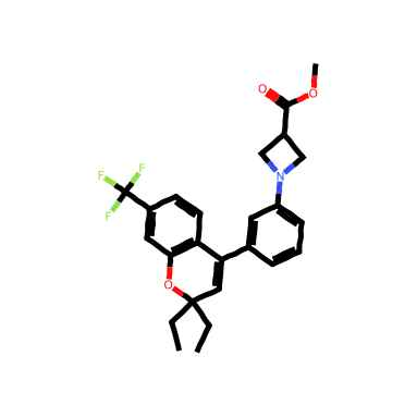 CCC1(CC)C=C(c2cccc(N3CC(C(=O)OC)C3)c2)c2ccc(C(F)(F)F)cc2O1